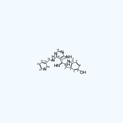 N=C(c1cc2cc(O)ccc2[nH]1)c1c(N)ncnc1NCc1cccnc1